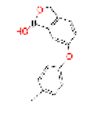 Cc1ccc(Oc2ccc3c(c2)B(O)OC3)cc1